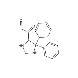 O=CC(=O)C1NCNC1(c1ccccc1)c1ccccc1